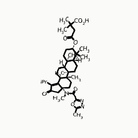 Cc1nnc(C(=O)N(C)[C@@]23CC[C@]4(C)C(CC[C@@H]5[C@@]6(C)CC[C@H](OC(=O)CC(C)(C)C(=O)O)C(C)(C)[C@@H]6CC[C@]54C)C2=C(C(C)C)C(=O)C3)o1